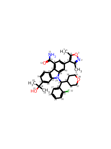 Cc1noc(C)c1-c1cc(C(N)=O)c2c3ccc(C(C)(C)O)cc3n(C(c3ccccc3F)C3CCOCC3)c2c1